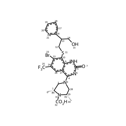 C[C@@H]1CN(c2nc(=O)[nH]c3c(SCC(CO)c4ccccn4)c(Br)c(C(F)(F)F)cc23)C[C@H](C)N1C(=O)O